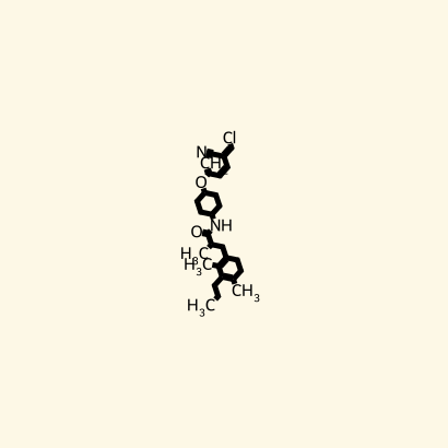 C=C(/C=C\C(C#N)=C\Cl)OC1CCC(NC(=O)C(C)CC2=C(C)C(CCC)=C(C)CC2)CC1